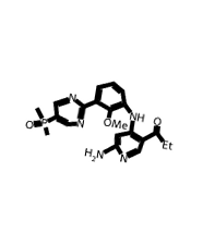 CCC(=O)c1cnc(N)cc1Nc1cccc(-c2ncc(P(C)(C)=O)cn2)c1OC